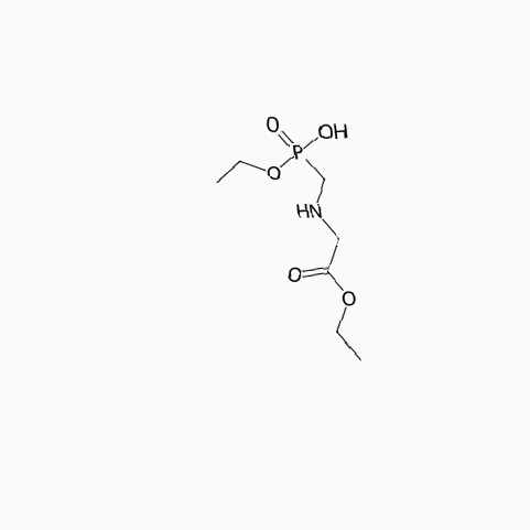 CCOC(=O)CNCP(=O)(O)OCC